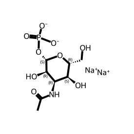 CC(=O)N[C@H]1[C@@H](O)[C@H](OP(=O)([O-])[O-])O[C@H](CO)[C@H]1O.[Na+].[Na+]